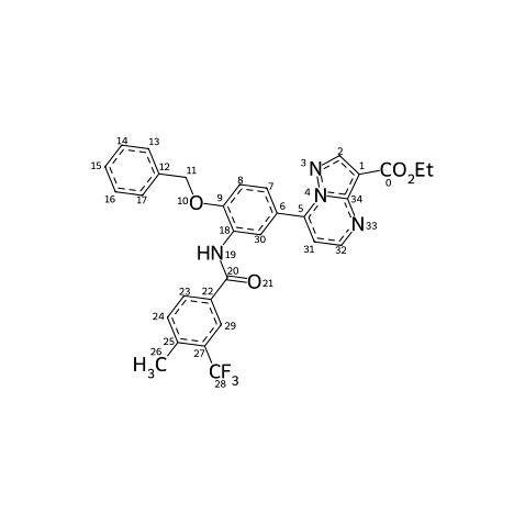 CCOC(=O)c1cnn2c(-c3ccc(OCc4ccccc4)c(NC(=O)c4ccc(C)c(C(F)(F)F)c4)c3)ccnc12